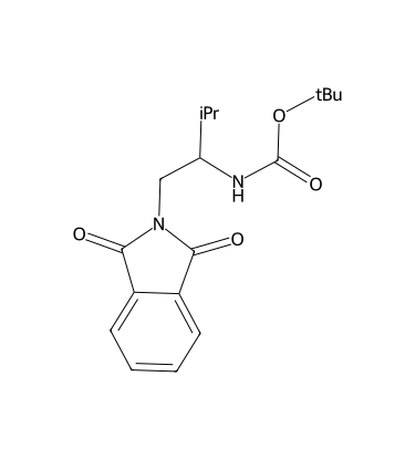 CC(C)C(CN1C(=O)c2ccccc2C1=O)NC(=O)OC(C)(C)C